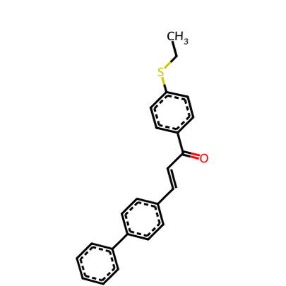 CCSc1ccc(C(=O)/C=C/c2ccc(-c3ccccc3)cc2)cc1